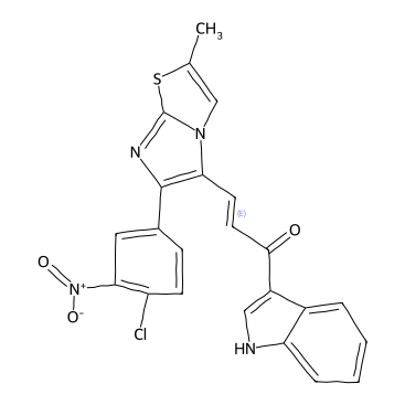 Cc1cn2c(/C=C/C(=O)c3c[nH]c4ccccc34)c(-c3ccc(Cl)c([N+](=O)[O-])c3)nc2s1